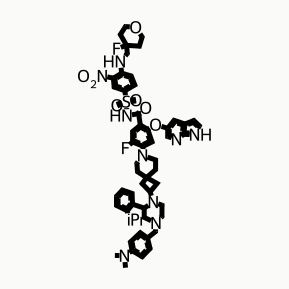 CC(C)c1ccccc1C1CN(Cc2ccc(N(C)C)cc2)CCN1C1CC2(CCN(c3cc(Oc4cnc5[nH]ccc5c4)c(C(=O)NS(=O)(=O)c4ccc(NCC5(F)CCOCC5)c([N+](=O)[O-])c4)cc3F)CC2)C1